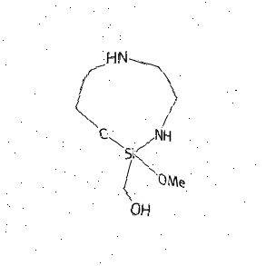 CO[Si]1(CO)CCCNCCN1